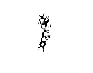 N[C@@H](CC(=O)N1C[C@H]2C[C@@H]1c1cnc(C(F)(F)F)n12)Cc1cc(F)c(F)cc1F